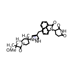 COC(C)(C)C(=O)N1CCC(C)(N/C=C(\C=N)Cc2ccc3c4c(cccc24)C(=O)N3C2CCC(=O)NC2=O)CC1